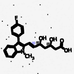 Cn1c(/C=C/[C@@H](O)C[C@@H](O)CC(=O)O)c(-c2ccc(F)cc2)c2ccccc21